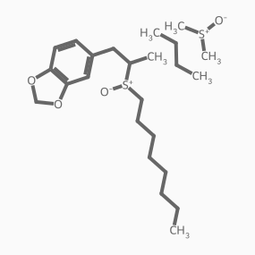 CCCC.CCCCCCCC[S+]([O-])C(C)Cc1ccc2c(c1)OCO2.C[S+](C)[O-]